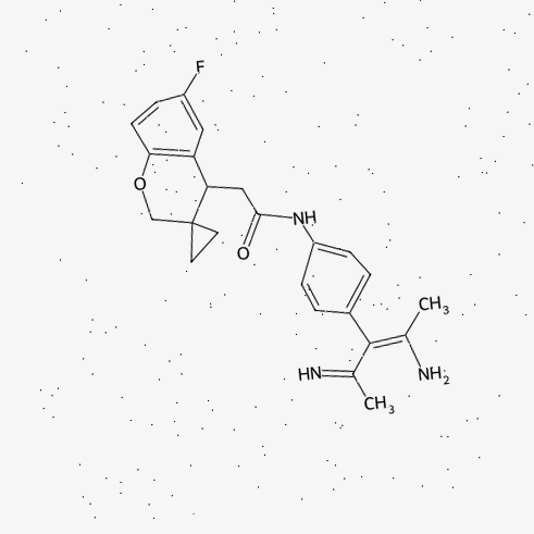 CC(=N)/C(=C(/C)N)c1ccc(NC(=O)CC2c3cc(F)ccc3OCC23CC3)cc1